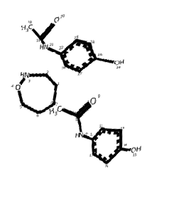 C1CCNOCC1.CC(=O)Nc1ccc(O)cc1.CC(=O)Nc1ccc(O)cc1